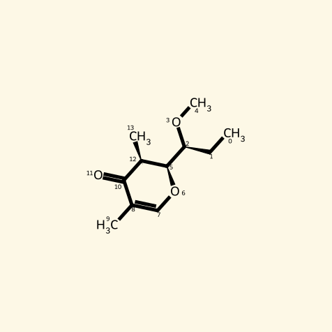 CC[C@H](OC)[C@H]1OC=C(C)C(=O)[C@H]1C